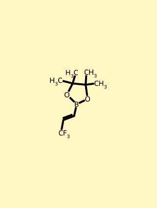 CC1(C)OB(C=CC(F)(F)F)OC1(C)C